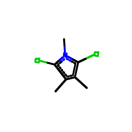 Cc1c(C)c(Cl)n(C)c1Cl